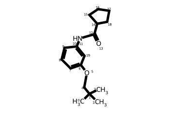 CC(C)(C)COc1cccc(NC(=O)C2CCCC2)c1